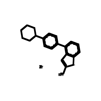 CCCC1=Cc2c(cccc2-c2ccc(C3CCCCC3)cc2)[CH]1.[Zr]